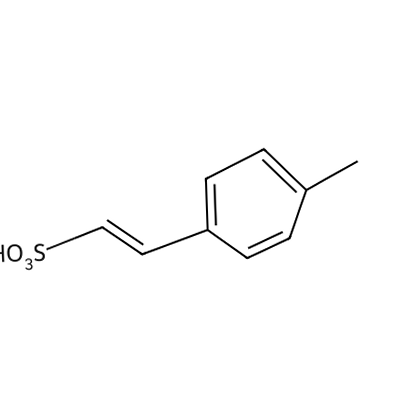 Cc1ccc(/C=C/S(=O)(=O)O)cc1